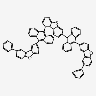 c1ccc(-c2ccc3oc4ccc(-c5c6ccccc6c(-c6ccc7c(c6)sc6cccc(-c8c9ccccc9c(-c9ccc%10oc%11ccc(-c%12ccccc%12)cc%11c%10c9)c9ccccc89)c67)c6ccccc56)cc4c3c2)cc1